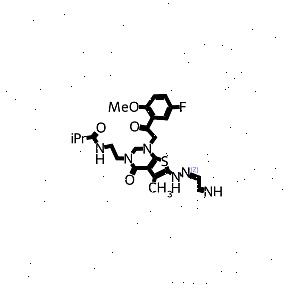 COc1ccc(F)cc1C(=O)CN1CN(CCNC(=O)C(C)C)C(=O)c2c1sc(N/N=C\C=N)c2C